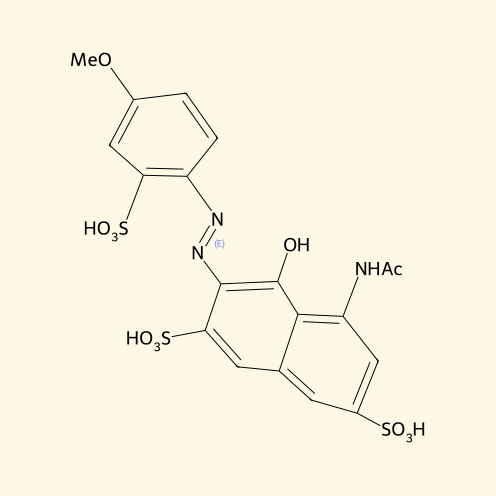 COc1ccc(/N=N/c2c(S(=O)(=O)O)cc3cc(S(=O)(=O)O)cc(NC(C)=O)c3c2O)c(S(=O)(=O)O)c1